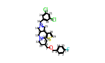 Fc1ccc(COCC2CCN(CC3CN(Cc4cc(Cl)cc(Cl)c4)CC3c3ccsc3)CC2)cc1